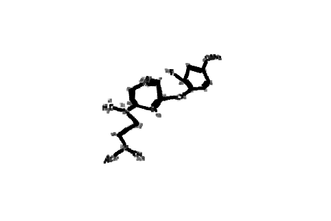 COc1ccc(Oc2cncc(N(C)CCN(C)C(C)=O)n2)c(F)c1